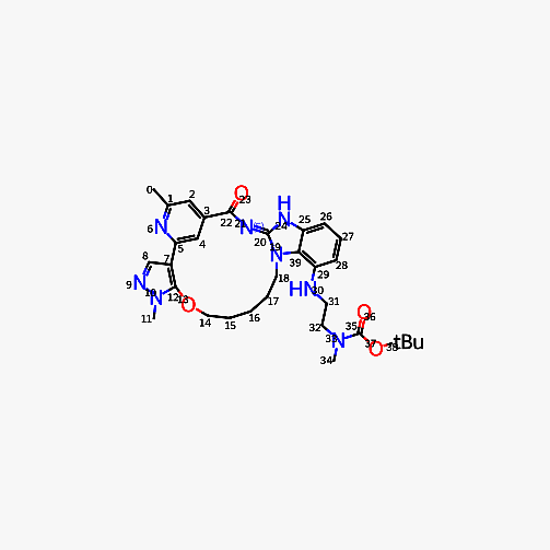 Cc1cc2cc(n1)-c1cnn(C)c1OCCCCCN1/C(=N/C2=O)Nc2cccc(NCCN(C)C(=O)OC(C)(C)C)c21